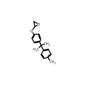 Cc1ccc(C(C)(C)c2ccc(OC3CO3)cc2)cc1